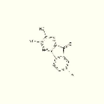 N#Cc1nc2c(nc1C#N)-c1ccc(Br)cc1C2=O